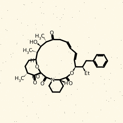 CC[C@H](Cc1ccccc1)[C@@H]1/C=C/C=C/CC(=O)[C@@H](C)[C@H](O)[C@@H](C)[C@@H]2CC[C@@H](C)C(=O)C(O)(O2)C(=O)N2CCCC[C@H]2C(=O)O1